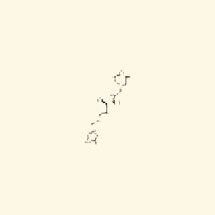 O=C(CCCCC1CCSS1)NCCN1CCOCC1